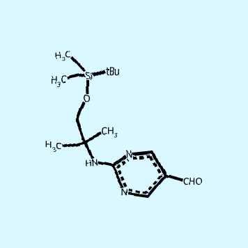 CC(C)(CO[Si](C)(C)C(C)(C)C)Nc1ncc(C=O)cn1